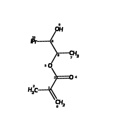 C=C(C)C(=O)OC(C)C(O)C(C)C